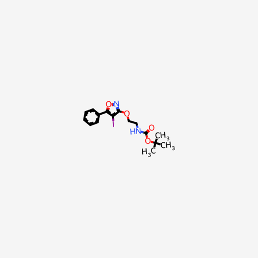 CC(C)(C)OC(=O)NCCOc1noc(-c2ccccc2)c1I